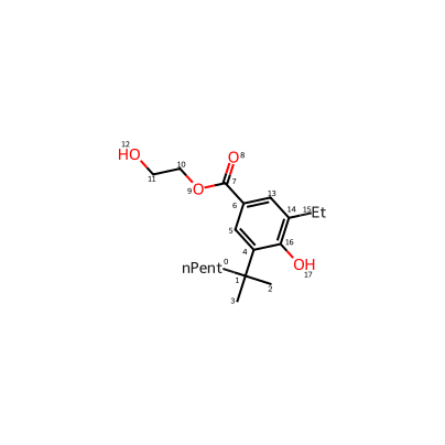 CCCCCC(C)(C)c1cc(C(=O)OCCO)cc(CC)c1O